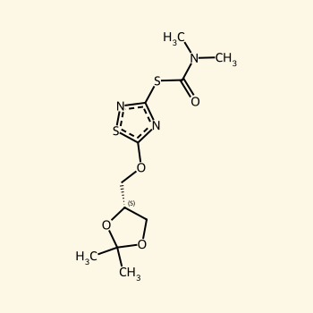 CN(C)C(=O)Sc1nsc(OC[C@@H]2COC(C)(C)O2)n1